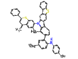 C=C1C=C(c2ccccc2)Sc2cc3c(cc21)Bc1c(-c2cc(C(C)(C)C)ccc2Nc2ccc(C(C)(C)C)cc2)ccc2c4cc5sc6ccccc6c5cc4n-3c12